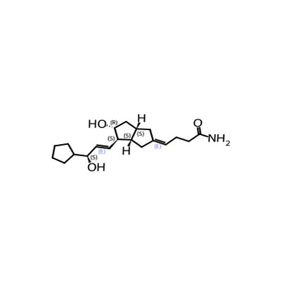 NC(=O)CC/C=C1\C[C@H]2C[C@@H](O)[C@H](/C=C/[C@@H](O)C3CCCC3)[C@H]2C1